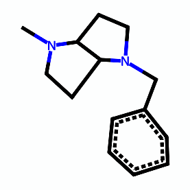 CN1CCC2C1CCN2Cc1ccccc1